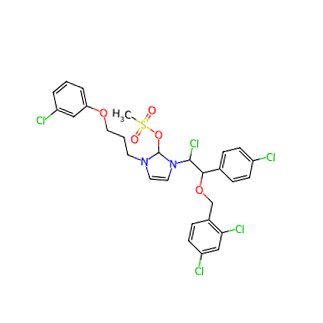 CS(=O)(=O)OC1N(CCCOc2cccc(Cl)c2)C=CN1C(Cl)C(OCc1ccc(Cl)cc1Cl)c1ccc(Cl)cc1